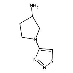 NC1CCN(c2csnn2)C1